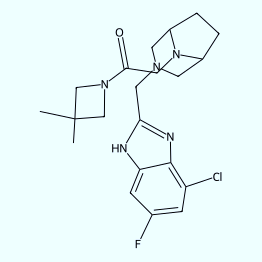 CC1(C)CN(C(=O)CN2C3CCC2CN(Cc2nc4c(Cl)cc(F)cc4[nH]2)C3)C1